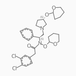 O=C(Cc1ccc(Cl)c(Cl)c1)N(OC1CCCCO1)[C@H](CN1CC[C@H](OC2CCCCO2)C1)c1ccccc1